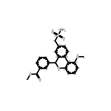 COC(=O)c1cccc(C2Oc3cccc(OC)c3-c3ccc(CS(N)(=O)=O)cc32)c1